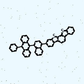 c1ccc(-c2c3ccccc3c(-c3ccc(-c4ccc5c(c4)sc4c5ccc5c6ccccc6sc54)c4ccccc34)c3ccccc23)cc1